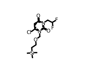 C[Si](C)(C)CCOCn1c(Cl)cc(=O)n(CC(F)F)c1=O